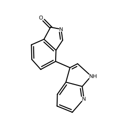 O=C1N=Cc2c1cccc2-c1c[nH]c2ncccc12